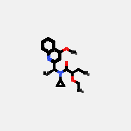 CCO[C@H](CC)C(=O)N(C1CC1)[C@@H](C)c1cc(OC)c2ccccc2n1